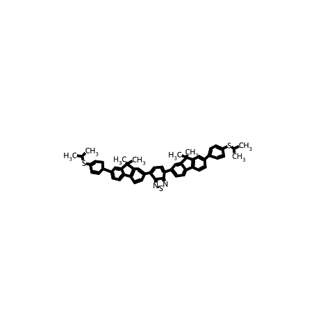 CC(C)SC1=CCC(c2ccc3c(c2)C(C)(C)c2cc(-c4ccc(-c5ccc6c(c5)C(C)(C)c5cc(-c7ccc(SC(C)C)cc7)ccc5-6)c5nsnc45)ccc2-3)C=C1